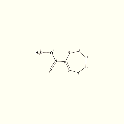 [SiH3]OC(=S)C1=CCCCCC1